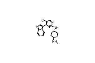 N[C@H]1CC[C@H](Nc2ncc(Cl)c(-c3cnc4ccccn34)n2)CC1